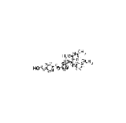 COc1cccc(F)c1-c1cc(C)nc(C)c1C(=O)Nc1nnc(OCc2ccc(CCO)cn2)s1